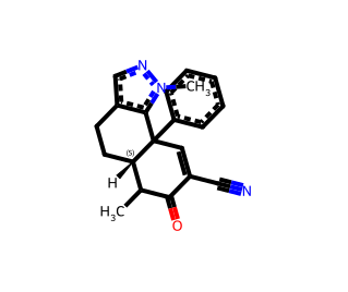 CC1C(=O)C(C#N)=CC2(c3ccccc3)c3c(cnn3C)CC[C@@H]12